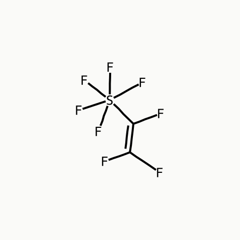 FC(F)=C(F)S(F)(F)(F)(F)F